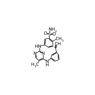 C#Cc1cccc(Nc2nc(Nc3ccc(C)c(S(N)(=O)=O)c3)ncc2C)c1